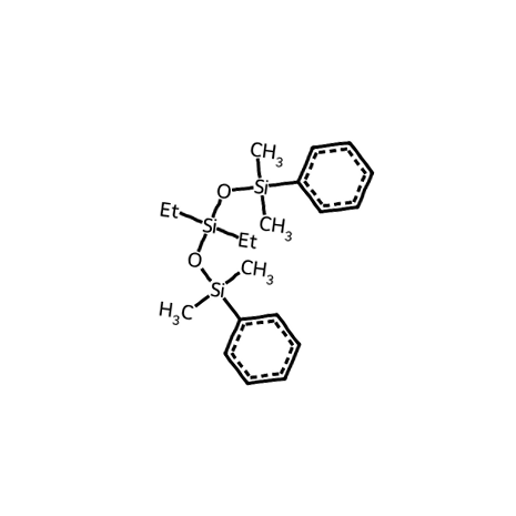 CC[Si](CC)(O[Si](C)(C)c1ccccc1)O[Si](C)(C)c1ccccc1